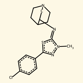 Cn1nc(-c2ccc(Cl)cc2)s/c1=N\C1CN2CCC1CC2